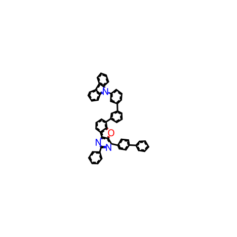 c1ccc(-c2ccc(-c3nc(-c4ccccc4)nc4c3oc3c(-c5cccc(-c6cccc(-n7c8ccccc8c8ccccc87)c6)c5)cccc34)cc2)cc1